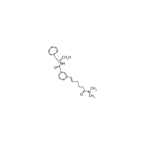 CN(C)C(=O)CCCC=Cc1cccc(C(=O)N[C@@H](Cc2ccccc2)C(=O)O)c1